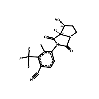 Cc1c(N2C(=O)[C@H]3[C@@H](O)CCN3C2=O)ccc(C#N)c1C(F)(F)F